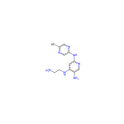 N#Cc1cnc(Nc2cc(NCCN)c(N)cn2)cn1